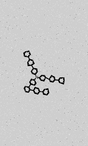 c1ccc(-c2ccc(-c3ccc(N(c4ccc(-c5ccc(-c6ccccc6)cc5)cc4)c4ccc(-c5ccccc5-c5ccc(-c6ccccc6)cc5)cc4)cc3)cc2)cc1